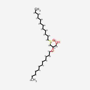 CCCCCCCCCCCCOC(CO)C[S+]([O-])CCCCCCCCCCCC